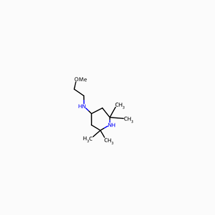 COCCNC1CC(C)(C)NC(C)(C)C1